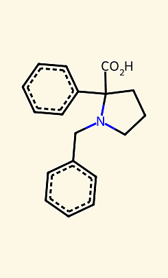 O=C(O)C1(c2ccccc2)CCCN1Cc1ccccc1